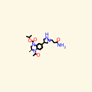 CC(=O)N1c2ccc(C3CNN(CCC(N)=O)C3)cc2N(C(=O)OC(C)C)C[C@@H]1C